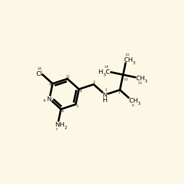 CC(NCc1cc(N)nc(Cl)c1)C(C)(C)C